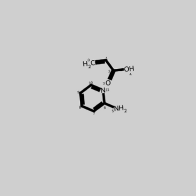 C=CC(=O)O.Nc1ccccn1